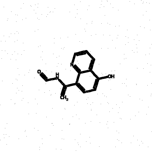 C=C(NC=O)c1ccc(O)c2cccnc12